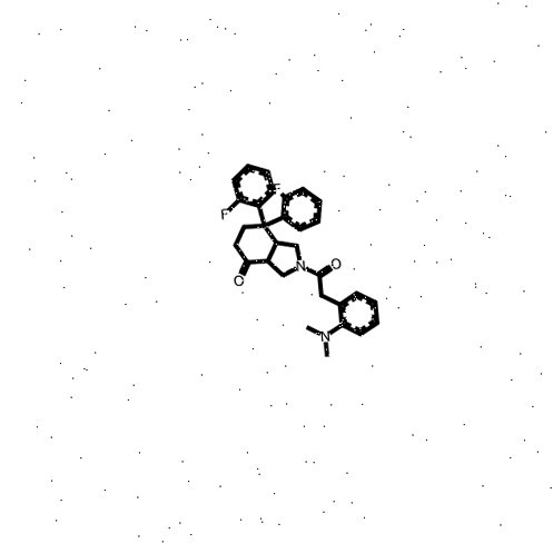 CN(C)c1ccccc1CC(=O)N1CC2C(=O)CCC(c3ccccc3F)(c3ccccc3F)C2C1